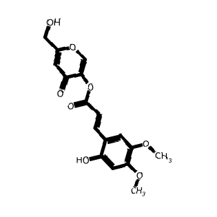 COc1cc(O)c(/C=C/C(=O)Oc2coc(CO)cc2=O)cc1OC